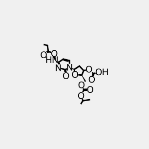 CCC(=O)ONc1ccn([C@H]2CC(OC(=O)O)[C@@H](COC(=O)OC(C)C)O2)c(=O)n1